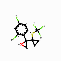 Fc1ccc(C2(C3(SC(F)(F)F)CC3)CO2)c(F)c1